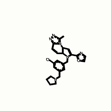 Cc1nnc2n1C1C=C(c3ncco3)N(Cc3cc(Cl)cc(CN4CCCC4)c3)C1C=C2